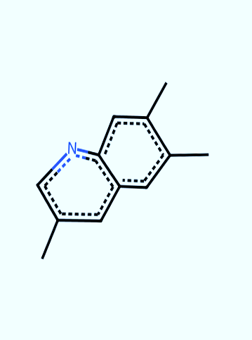 Cc1cnc2cc(C)c(C)cc2c1